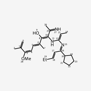 C=C(C)\C(=C/C=C(C)/C(O)=C(\NC(=C/C)/N=C(\C=C\CC)C1CCCC1)C(C)=N)OC